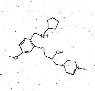 COc1ccc(CNC2CCCC2)c(OCC(O)CN2CCN(C)CC2)c1